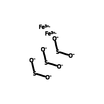 [Fe+3].[Fe+3].[O-]S[O-].[O-]S[O-].[O-]S[O-]